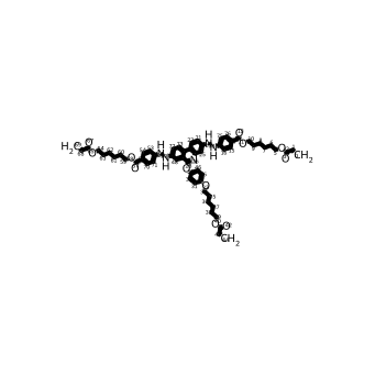 C=CC(=O)OCCCCCCOC(=O)c1ccc(NNc2ccc3c(c2)nc(Oc2ccc(OCCCCCCOC(=O)C=C)cc2)c2cc(NNc4ccc(C(=O)OCCCCCCOC(=O)C=C)cc4)ccc23)cc1